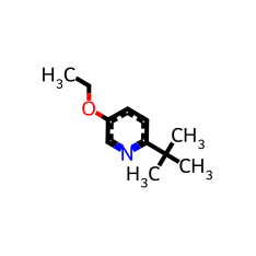 CCOc1ccc(C(C)(C)C)nc1